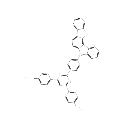 Cc1ccc(-c2cc(-c3ccc(C)cc3)nc(-c3ccc(-n4c5ccccc5c5c6sc7ccccc7c6ccc54)cc3)n2)cc1